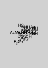 CC(=O)NC(CSC(=O)c1ccc(C(F)(F)F)cc1OC(=O)C(CSC(=O)C(CS)NC(C)=O)NC(C)=O)C(=O)NC(=N)NC(=N)N(C)C